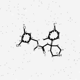 Cc1cc(F)ccc1C1(CC(=O)N(C)Cc2cc(Cl)cc(Cl)c2)CCNCC1